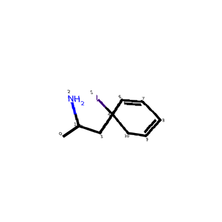 CC(N)CC1(I)C=CC=CC1